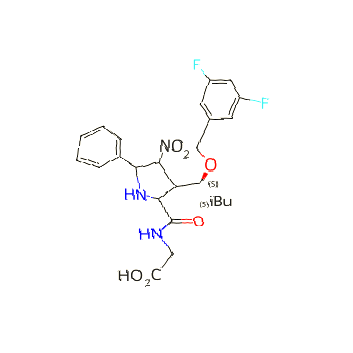 CC[C@H](C)[C@H](OCc1cc(F)cc(F)c1)C1C(C(=O)NCC(=O)O)NC(c2ccccc2)C1[N+](=O)[O-]